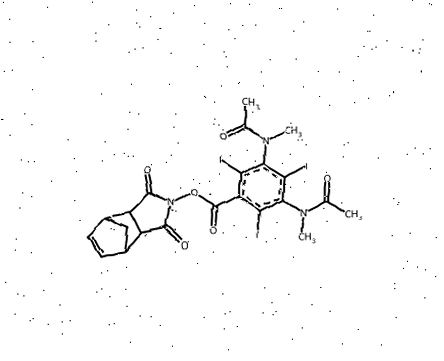 CC(=O)N(C)c1c(I)c(C(=O)ON2C(=O)C3C4C=CC(C4)C3C2=O)c(I)c(N(C)C(C)=O)c1I